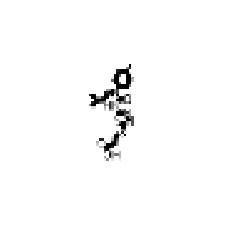 CC(C)CCN(C(=O)Nc1nnc(SCCC(=O)O)s1)[C@H]1CC[C@H](C)CC1